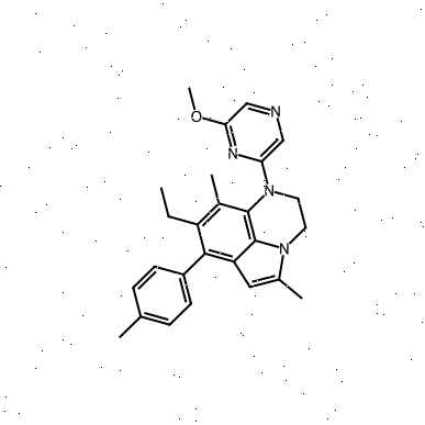 CCc1c(C)c2c3c(cc(C)n3CCN2c2cncc(OC)n2)c1-c1ccc(C)cc1